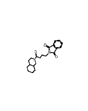 O=C(CCCN1C(=O)c2ccccc2C1=O)N1CCC2CCCCC2C1